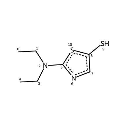 CCN(CC)c1ncc(S)s1